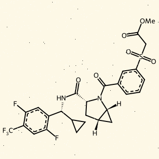 COC(=O)CS(=O)(=O)c1cccc(C(=O)N2[C@@H](C(=O)N[C@@H](c3cc(F)c(C(F)(F)F)cc3F)C3CC3)C[C@H]3C[C@H]32)c1